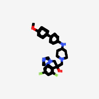 COc1ccc(-c2ccc(NC3CCN(CC(O)(Cn4cncn4)c4ccc(F)cc4F)CC3)cc2)cc1